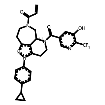 C=CC(=O)N1CCc2nn(-c3ccc(C4CC4)cc3)c3c2[C@@H](C1)N(C(=O)c1cnc(C(F)(F)F)c(O)c1)CC3